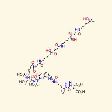 CC(=O)N(O)CCCCCNC(=O)CCC(=O)N(O)CCCCCNC(=O)CCC(=O)N(O)CCCCCNC(=O)CCN1C(=O)CC(SC[C@H](NC(=O)[C@H](CC(=O)O)NC(=O)[C@H](CC(=O)O)NC(=O)Cc2ccc(CNC(=O)NCCCC[C@@H](C)NC(=O)N[C@@H](CCC(=O)O)C(=O)O)cc2)C(=O)O)C1=O